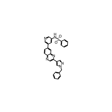 O=S(=O)(Nc1cncc(-c2ccc3ncc(-c4cnn(Cc5ccccc5)c4)nc3c2)c1)c1ccccc1